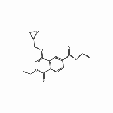 CCOC(=O)c1ccc(C(=O)OCC)c(C(=O)OCC2CO2)c1